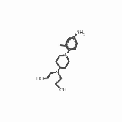 Nc1ccc(N2CCC(N(CCO)CCO)CC2)c(F)c1